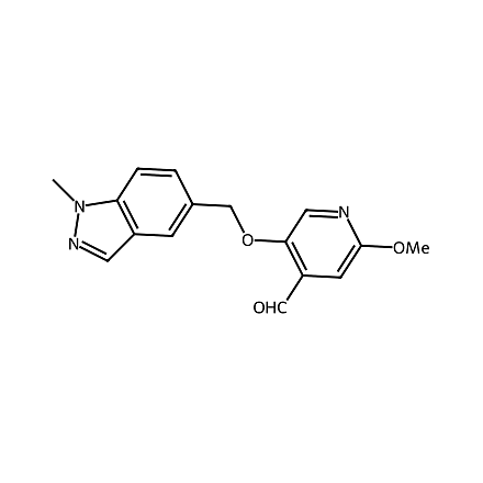 COc1cc(C=O)c(OCc2ccc3c(cnn3C)c2)cn1